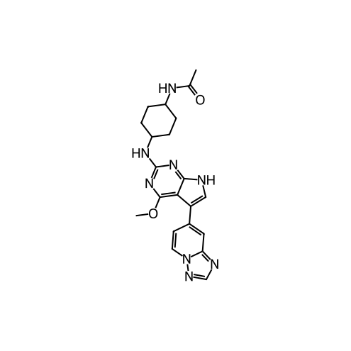 COc1nc(NC2CCC(NC(C)=O)CC2)nc2[nH]cc(-c3ccn4ncnc4c3)c12